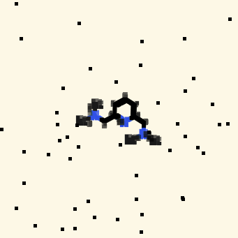 CCN(CC)Cc1cccc(CN(CC)CC)n1